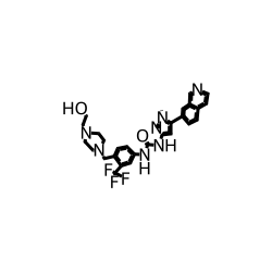 Cn1nc(NC(=O)Nc2ccc(CN3CCN(CCO)CC3)c(C(F)(F)F)c2)cc1-c1ccc2ccncc2c1